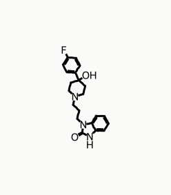 O=c1[nH]c2ccccc2n1CCCN1CCC(O)(c2ccc(F)cc2)CC1